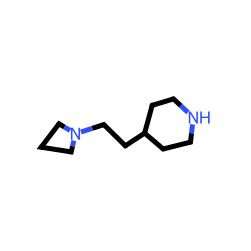 C1CN(CCC2CCNCC2)C1